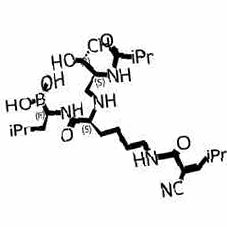 CC(C)C=C(C#N)C(=O)NCCCC[C@H](NC[C@H](NC(=O)C(C)C)[C@@H](C)O)C(=O)N[C@@H](CC(C)C)B(O)O